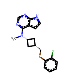 CN(c1ncnc2[nH]ccc12)[C@H]1C[C@@H](CSc2ccccc2Cl)C1